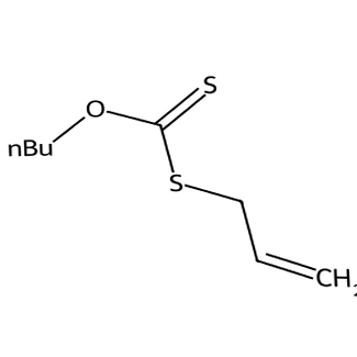 C=CCSC(=S)OCCCC